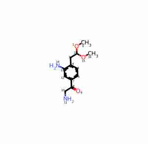 COC(Cc1ccc(C(=O)CN)cc1N)OC